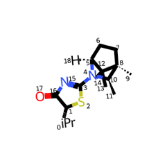 CC(C)C1SC(N2[C@H]3CC[C@@](C)([C@H]2C)C3(C)C)=NC1=O